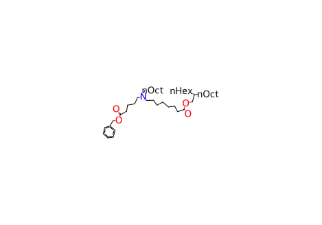 CCCCCCCCC(CCCCCC)COC(=O)CCCCCCCN(CCCCCCCC)CCCCC(=O)OCc1ccccc1